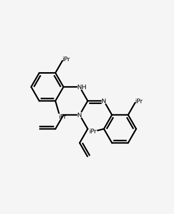 C=CCN(CC=C)/C(=N\c1c(C(C)C)cccc1C(C)C)Nc1c(C(C)C)cccc1C(C)C